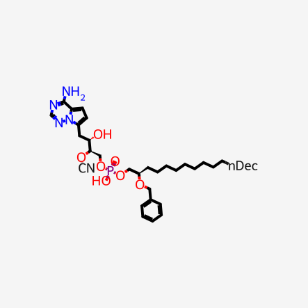 CCCCCCCCCCCCCCCCCCC[C@H](COP(=O)(O)OC[C@@H](OC#N)[C@@H](O)Cc1ccc2c(N)ncnn12)OCc1ccccc1